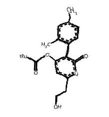 Cc1ccc(-c2c(OC(=O)C(C)(C)C)cc(CCO)oc2=O)c(C)c1